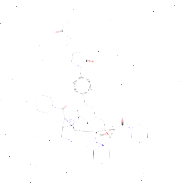 CC(=O)NC[C@H]1CN(c2ccc(C(CCC34CNCC3C4C(=O)N3CCCCC3)CC(CC34CNCC3C4C(=O)N3CCCCC3)C34CNCC3C4C(=O)N3CCCCC3)c(F)c2)C(=O)O1